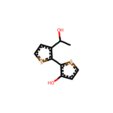 CC(O)c1ccsc1-c1sccc1O